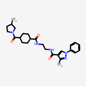 O=C(NCCNC(=O)C1CCC(C(=O)N2CCC(C(F)(F)F)C2)CC1)c1cn(-c2ccccc2)nc1C(F)(F)F